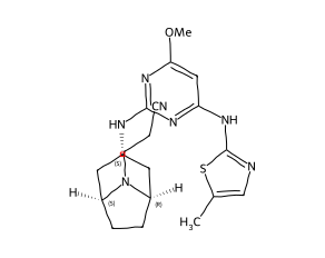 COc1cc(Nc2ncc(C)s2)nc(N[C@@H]2C[C@H]3CC[C@@H](C2)N3CCC#N)n1